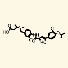 CC(CC(=O)O)NCc1ccc(NC(=O)c2cc(-c3ccc(OC(C)C)c(Cl)c3)on2)c(Cl)c1